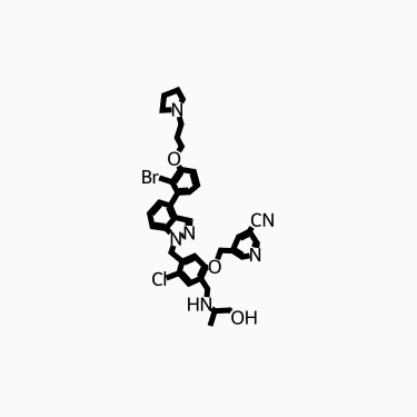 CC(CO)NCc1cc(Cl)c(Cn2ncc3c(-c4cccc(OCCCN5CCCC5)c4Br)cccc32)cc1OCc1cncc(C#N)c1